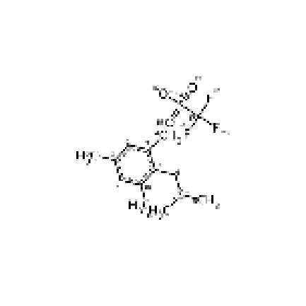 Cc1cc(C)c(C[S+](C)C)c(C)c1.O=S(=O)([O-])C(F)(F)F